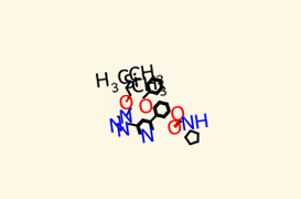 C[Si](C)(C)CCOCn1cnnc1-c1cncc(-c2cc(OC(=O)NC3CCCC3)ccc2OCc2ccccc2)c1